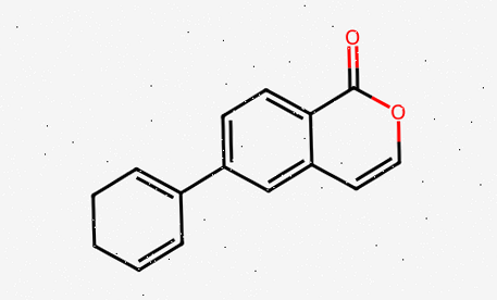 O=c1occc2cc(C3=CCCC=C3)ccc12